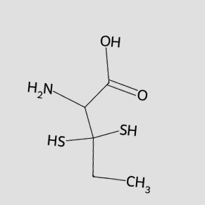 CCC(S)(S)C(N)C(=O)O